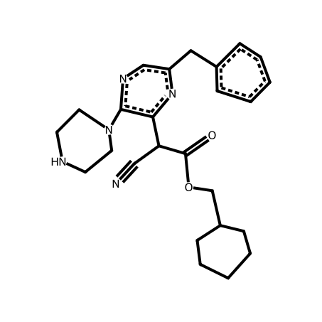 N#CC(C(=O)OCC1CCCCC1)c1nc(Cc2ccccc2)cnc1N1CCNCC1